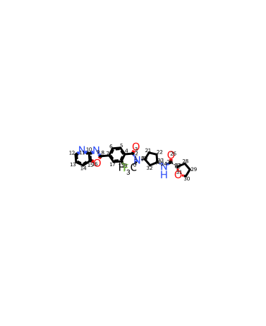 CN(C(=O)c1ccc(-c2nc3ncccc3o2)cc1F)[C@@H]1CC[C@H](NC(=O)[C@@H]2CCCO2)C1